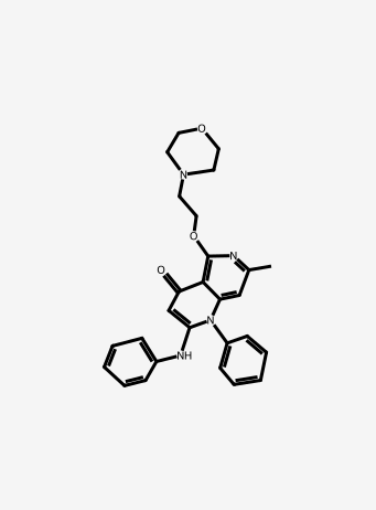 Cc1cc2c(c(OCCN3CCOCC3)n1)c(=O)cc(Nc1ccccc1)n2-c1ccccc1